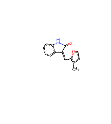 Cc1ccoc1C=C1C(=O)Nc2ccccc21